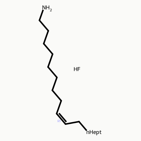 CCCCCCCC/C=C\CCCCCCCCN.F